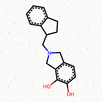 Oc1ccc2c(c1O)CN(CC1CCc3ccccc31)C2